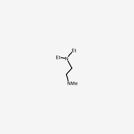 [CH2-][NH2+]CCN(CC)CC